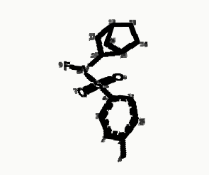 Cc1ccc(S(=O)(=O)N(F)C2CC3CCC2C3)cc1